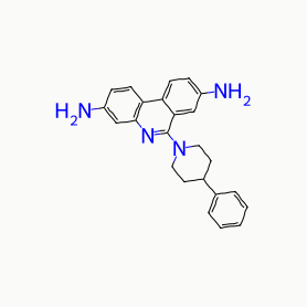 Nc1ccc2c(c1)nc(N1CCC(c3ccccc3)CC1)c1cc(N)ccc12